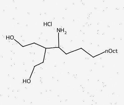 CCCCCCCCCCCC(N)C(CCO)CCO.Cl